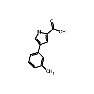 Cc1cccc(-c2c[nH]c(C(=O)O)c2)c1